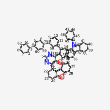 c1ccc(-c2ccc(-c3cccc(-c4cccc5oc6c(-c7cccc8oc9ccc(-c%10ccc%11c(c%10)c%10ccccc%10n%11-c%10ccccc%10)cc9c78)ncnc6c45)c3)cc2)cc1